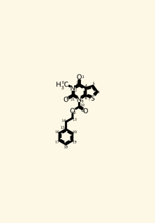 Cn1c(=O)c2ccsc2n(C(=O)OCCc2ccccc2)c1=O